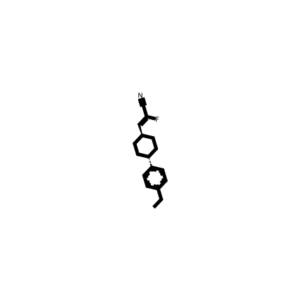 CCc1ccc([C@H]2CC[C@H](C=C(F)C#N)CC2)cc1